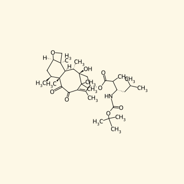 CC1=C2C(=O)C(=O)[C@@]3(C)[C@H]([C@H](C)[C@](O)(C[C@@H]1OC(=O)C(C)[C@H](CC(C)C)NC(=O)OC(C)(C)C)C2(C)C)[C@]1(C)CO[C@@H]1C[C@@H]3C